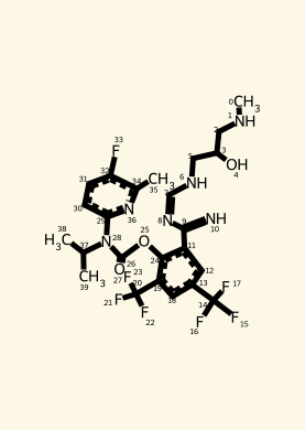 CNCC(O)CN/C=N\C(=N)c1cc(C(F)(F)F)cc(C(F)(F)F)c1OC(=O)N(c1ccc(F)c(C)n1)C(C)C